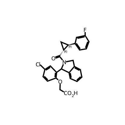 O=C(O)COc1ccc(Cl)cc1C1c2ccccc2CN1C(=O)[C@@H]1C[C@H]1c1cccc(F)c1